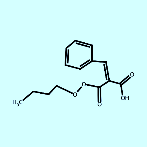 CCCCOOC(=O)C(=Cc1ccccc1)C(=O)O